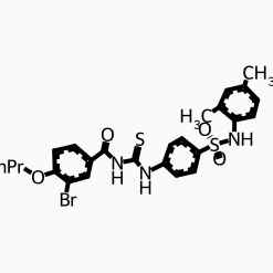 CCCOc1ccc(C(=O)NC(=S)Nc2ccc(S(=O)(=O)Nc3ccc(C)cc3C)cc2)cc1Br